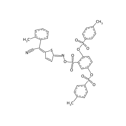 Cc1ccc(S(=O)(=O)Oc2ccc(OS(=O)(=O)c3ccc(C)cc3)c(S(=O)(=O)O/N=C3C=C/C(=C(\C#N)c4ccccc4C)S\3)c2)cc1